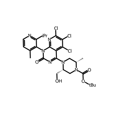 Cc1ccnc(C(C)C)c1-n1c(=O)nc(N2C[C@H](C)N(C(=O)OC(C)(C)C)C[C@@H]2CO)c2c(Cl)c(Cl)c(Cl)nc21